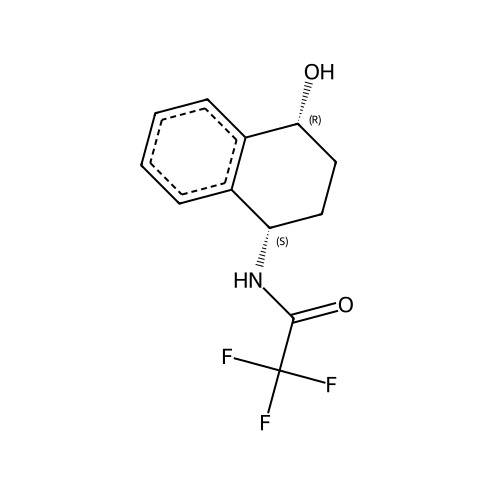 O=C(N[C@H]1CC[C@@H](O)c2ccccc21)C(F)(F)F